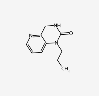 CCCN1C(=O)NCc2ncccc21